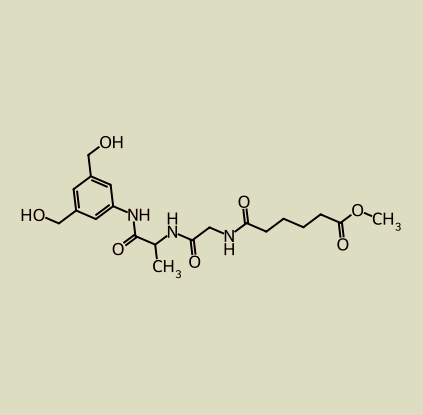 COC(=O)CCCCC(=O)NCC(=O)NC(C)C(=O)Nc1cc(CO)cc(CO)c1